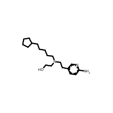 Nc1ccc(CCN(CCO)CCCCCC2CCCC2)cn1